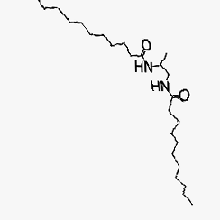 CCCCCCCCCCC(=O)NCC(C)NC(=O)CCCCCCCCCC